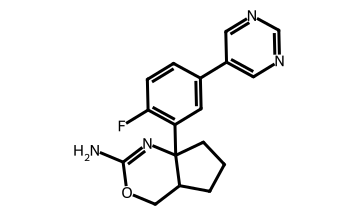 NC1=NC2(c3cc(-c4cncnc4)ccc3F)CCCC2CO1